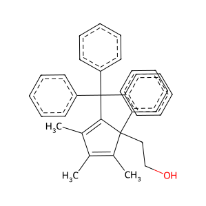 CC1=C(C)C(CCO)(c2ccccc2)C(C(c2ccccc2)(c2ccccc2)c2ccccc2)=C1C